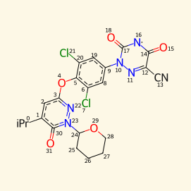 CC(C)c1cc(Oc2c(Cl)cc(N3N=C(C#N)C(=O)[N]C3=O)cc2Cl)nn(C2CCCCO2)c1=O